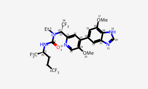 CCN(C(=O)N[C@@H](CCC(F)(F)F)C(F)(F)F)[C@@H](c1cc(-c2cc(OC)c3[nH]cnc3c2)c(OC)cn1)C(F)(F)F